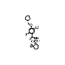 O=C(NS(=O)(=O)N1CCCC12CC2)c1cc(Cl)c(OCC2CCCC2)cc1F